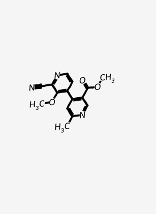 COC(=O)c1cnc(C)cc1-c1ccnc(C#N)c1OC